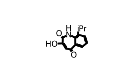 CC(C)c1cccc2c(=O)cc(O)c(=O)[nH]c12